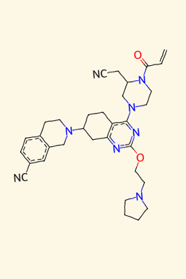 C=CC(=O)N1CCN(c2nc(OCCN3CCCC3)nc3c2CCC(N2CCc4ccc(C#N)cc4C2)C3)CC1CC#N